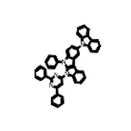 c1ccc(-c2cc(-n3c4ccccc4c4c5cc(-n6c7ccccc7c7ccccc76)ccc5n(-c5ccccc5)c43)nc(-c3ccccc3)n2)cc1